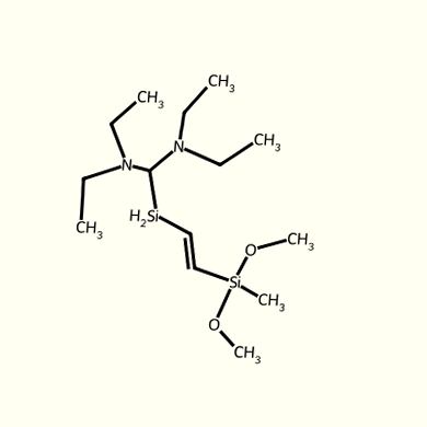 CCN(CC)C([SiH2]C=C[Si](C)(OC)OC)N(CC)CC